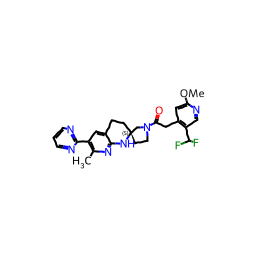 COc1cc(CC(=O)N2CC[C@@]3(CCc4cc(-c5ncccn5)c(C)nc4N3)C2)c(C(F)F)cn1